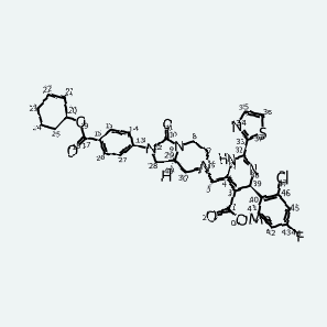 COC(=O)C1=C(CN2CCN3C(=O)N(c4ccc(C(=O)OC5CCCCC5)cc4)C[C@@H]3C2)NC(c2nccs2)=N[C@H]1c1ccc(F)cc1Cl